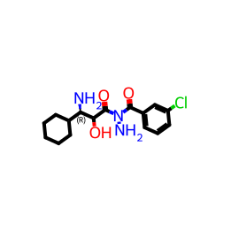 N[C@H](C1CCCCC1)C(O)C(=O)N(N)C(=O)c1cccc(Cl)c1